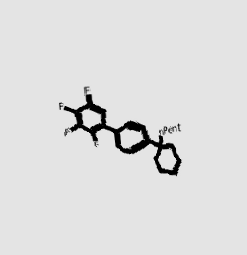 CCCCCC1(c2ccc(-c3cc(F)c(F)c(F)c3F)cc2)CCCCC1